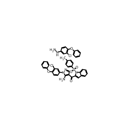 Cc1ccc(S(=O)(=O)n2c(C(=O)c3cnn(-c4ccc(Oc5ccccc5)c(Cl)c4)c3N)cc3ccccc32)cc1.NNc1ccc(Oc2ccccc2)c(Cl)c1